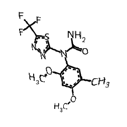 COc1cc(OC)c(N(C(N)=O)c2nnc(C(F)(F)F)s2)cc1C